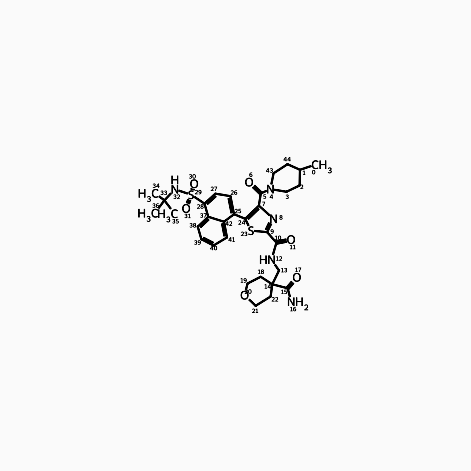 CC1CCN(C(=O)c2nc(C(=O)NCC3(C(N)=O)CCOCC3)sc2-c2ccc(S(=O)(=O)NC(C)(C)C)c3ccccc23)CC1